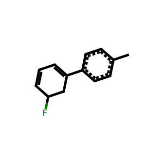 Cc1ccc(C2=CC=CC(F)C2)cc1